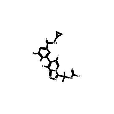 Cc1c(F)cc(C(=O)NC2CC2)cc1-c1c(F)cn2c(C(C)(C)NC(=O)O)nnc2c1F